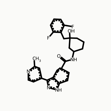 Cc1cc(-c2n[nH]c3ccc(C(=O)NC4CCCC(O)(Cc5c(F)cccc5F)C4)cc23)ccn1